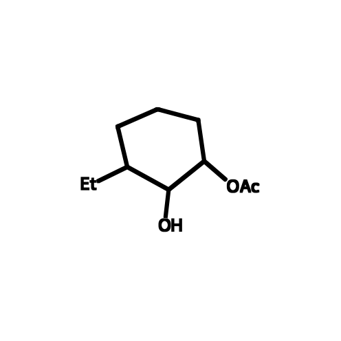 CCC1CCCC(OC(C)=O)C1O